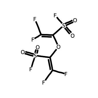 O=S(=O)(F)C(OC(=C(F)F)S(=O)(=O)F)=C(F)F